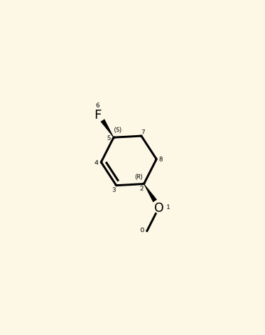 CO[C@H]1C=C[C@@H](F)CC1